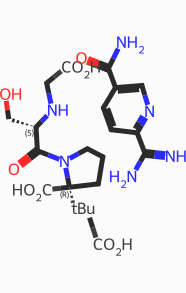 CC(=O)O.CC(C)(C)[C@@]1(C(=O)O)CCCN1C(=O)[C@H](CO)NCC(=O)O.N=C(N)c1ccc(C(N)=O)cn1